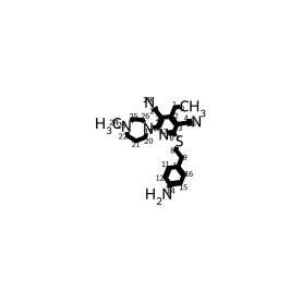 CCc1c(C#N)c(SCCc2ccc(N)cc2)nc(N2CCCN(C)CC2)c1C#N